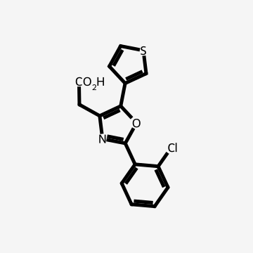 O=C(O)Cc1nc(-c2ccccc2Cl)oc1-c1ccsc1